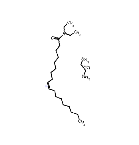 CCCCCCCC/C=C\CCCCCCCC(=O)N(CC)CC.Cl.NCCN